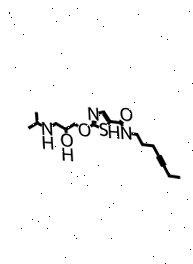 CCC#CCCCNC(=O)c1cnc(OCC(O)CNC(C)C)s1